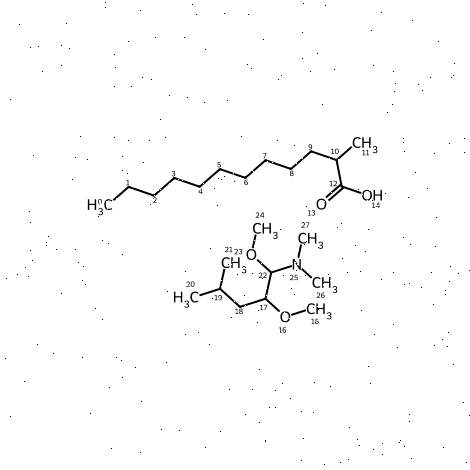 CCCCCCCCCCC(C)C(=O)O.COC(CC(C)C)C(OC)N(C)C